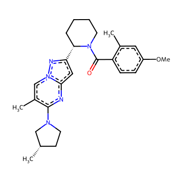 COc1ccc(C(=O)N2CCCC[C@H]2c2cc3nc(N4CC[C@H](C)C4)c(C)cn3n2)c(C)c1